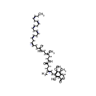 CC/C=C\C/C=C\C/C=C\C/C=C\C/C=C\C/C=C\CCC(=O)NCCN(C)CCNC(=O)CC/C(C)=C/Cc1c(O)c2c(c(C)c1OC)COC2=O